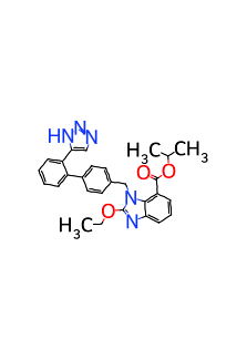 CCOc1nc2cccc(C(=O)OC(C)C)c2n1Cc1ccc(-c2ccccc2-c2cnn[nH]2)cc1